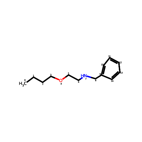 CCCCOCCNCc1ccccc1